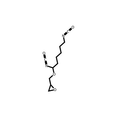 O=C=NCCCCCC(N=C=O)OCC1CO1